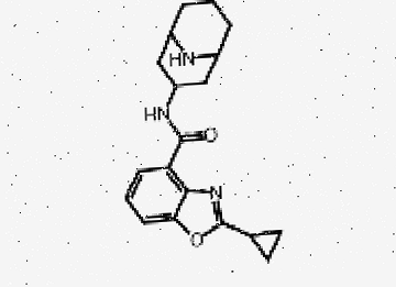 O=C(NC1CC2CCCC(C1)N2)c1cccc2oc(C3CC3)nc12